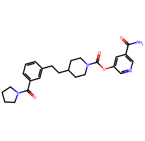 NC(=O)c1cncc(OC(=O)N2CCC(CCc3cccc(C(=O)N4CCCC4)c3)CC2)c1